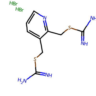 Br.Br.N=C(N)SCc1cccnc1CSC(=N)N